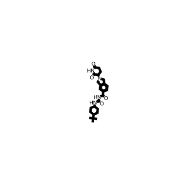 CC(C)(C)C1CCC(NC(=O)NC(=O)c2ccc3c(c2)CN(C2CCC(=O)NC2=O)C3)CC1